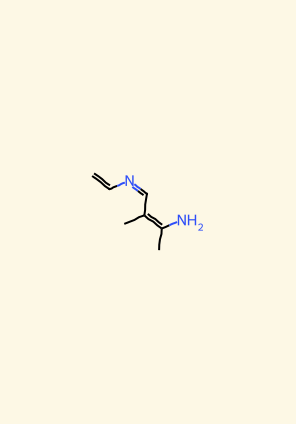 C=C/N=C\C(C)=C(\C)N